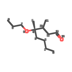 CCCC[C@](C)(OCCC)C(C)CC=O